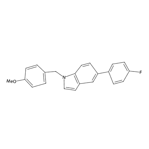 COc1ccc(Cn2ccc3cc(-c4ccc(F)cc4)ccc32)cc1